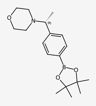 C[C@H](c1ccc(B2OC(C)(C)C(C)(C)O2)cc1)N1CCOCC1